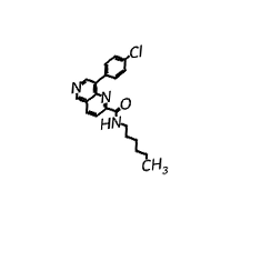 CCCCCCNC(=O)c1ccc2cncc(-c3ccc(Cl)cc3)c2n1